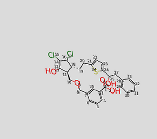 O=C(O)c1cccc(COC[C@H]2C(O)C(Cl)C(Cl)[C@@H]2CCc2ccc(C(O)Cc3ccccc3)s2)c1